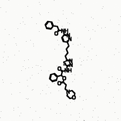 O=C(Cc1ccccc1)Nc1ccc(CCCCc2nnc(NC(=O)C(OC(=O)CCN3CCOCC3)c3ccccc3)s2)nn1